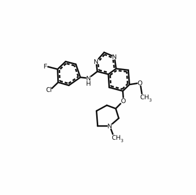 COc1cc2ncnc(Nc3ccc(F)c(Cl)c3)c2cc1OC1CCCN(C)C1